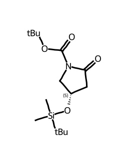 CC(C)(C)OC(=O)N1C[C@@H](O[Si](C)(C)C(C)(C)C)CC1=O